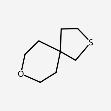 C1CC2(CCO1)CCSC2